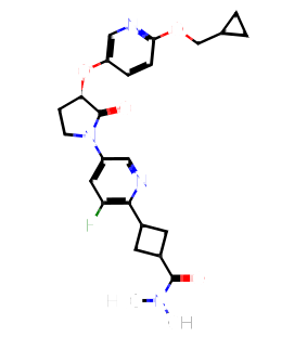 CN(C)C(=O)C1CC(c2ncc(N3CC[C@@H](Oc4ccc(OCC5CC5)nc4)C3=O)cc2F)C1